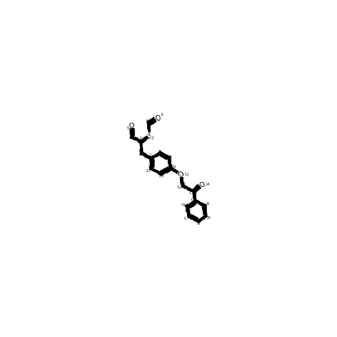 O=CSC(C=O)Cc1ccc(OCC(=O)c2ccccc2)cc1